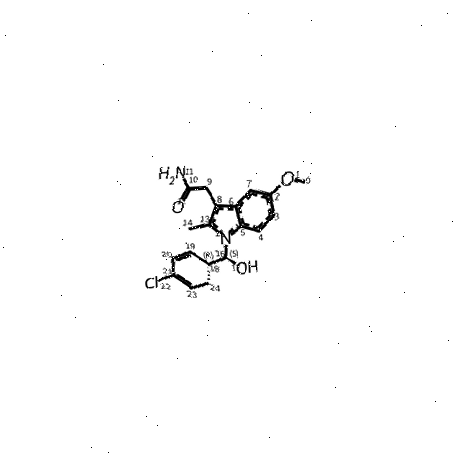 COc1ccc2c(c1)c(CC(N)=O)c(C)n2[C@@H](O)[C@H]1C=CC(Cl)=CC1